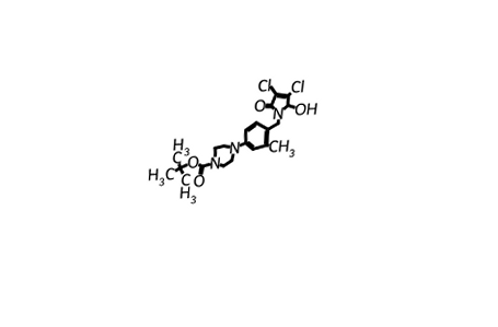 Cc1cc(N2CCN(C(=O)OC(C)(C)C)CC2)ccc1CN1C(=O)C(Cl)=C(Cl)C1O